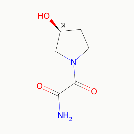 NC(=O)C(=O)N1CC[C@H](O)C1